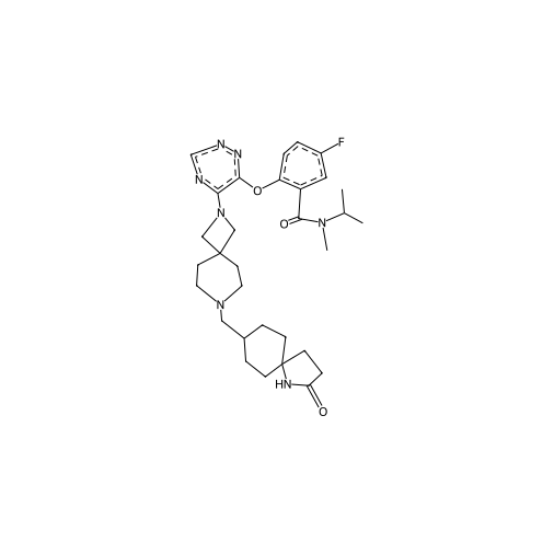 CC(C)N(C)C(=O)c1cc(F)ccc1Oc1nncnc1N1CC2(CCN(CC3CCC4(CCC(=O)N4)CC3)CC2)C1